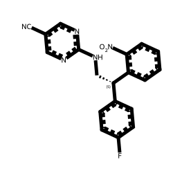 N#Cc1cnc(NC[C@@H](c2ccc(F)cc2)c2ccccc2[N+](=O)[O-])nc1